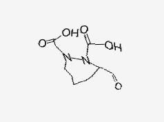 O=CC1CCCN(C(=O)O)N1C(=O)O